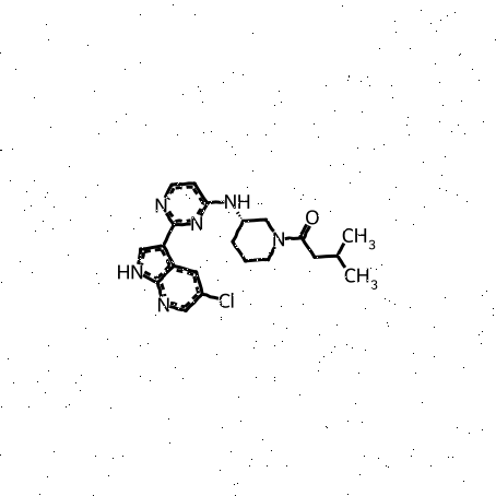 CC(C)CC(=O)N1CCC[C@H](Nc2ccnc(-c3c[nH]c4ncc(Cl)cc34)n2)C1